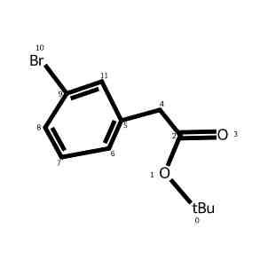 CC(C)(C)OC(=O)Cc1cccc(Br)c1